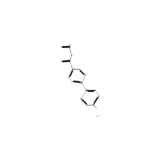 CCCC(=O)CC(=O)c1ccc(-c2ccc(OCC)cc2)cc1